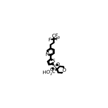 O=C(O)C1(S(=O)(=O)c2ccc(-c3ccc(CCC(F)(F)C(F)(F)F)cn3)s2)CCOCC1